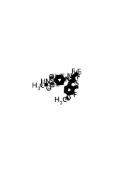 COc1ccc2c(c1F)CSc1c(C(F)(F)F)nn(-c3ccc(S(=O)(=O)NC(C)=O)cc3)c1-2